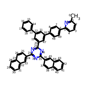 Cc1cccc(-c2ccc(-c3cc(-c4ccccc4)cc(-c4nc(-c5ccc6ccccc6c5)nc(-c5ccc6ccccc6c5)n4)c3)cc2)n1